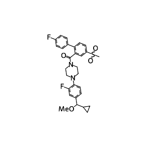 COC(c1ccc(N2CCN(C(=O)c3cc(S(C)(=O)=O)ccc3-c3ccc(F)cc3)CC2)c(F)c1)C1CC1